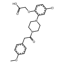 COc1ccc(CC(=O)N2CCN(c3cc(Cl)ccc3OCC(=O)O)CC2)cc1